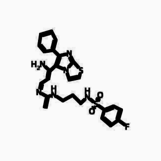 C=C(/N=C\C=C(/N)c1c(-c2ccccc2)nc2sccn12)NCCCNS(=O)(=O)c1ccc(F)cc1